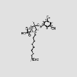 CCCCCCCCCCCCCCCCCCOC[C@](C)(COP(=O)(O)O)OCc1cc(F)cc(C#N)c1